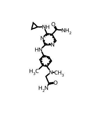 Cc1cc(Nc2ncc(C(N)=O)c(NC3CC3)n2)ccc1N(C)CC(N)=O